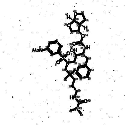 CNc1cccc(S(=O)(=O)N(C[C@@H](O)[C@H](Cc2ccccc2)NC(=O)O[C@H]2CO[C@H]3OCC[C@H]32)CC(C)(C)CCCNC(=O)N(C)C)c1